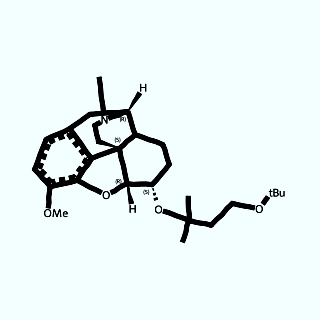 COc1ccc2c3c1O[C@H]1[C@@H](OC(C)(C)CCOC(C)(C)C)CCC4[C@@H](C2)N(C)CC[C@@]341